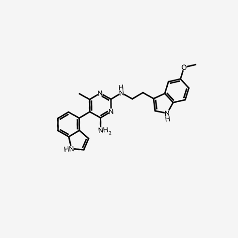 COc1ccc2[nH]cc(CCNc3nc(C)c(-c4cccc5[nH]ccc45)c(N)n3)c2c1